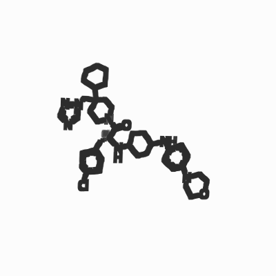 O=C([C@@H](Cc1ccc(Cl)cc1)NC1CCC(Nc2ccc(N3CCOCC3)cc2)CC1)N1CCC(Cn2cncn2)(C2CCCCC2)CC1